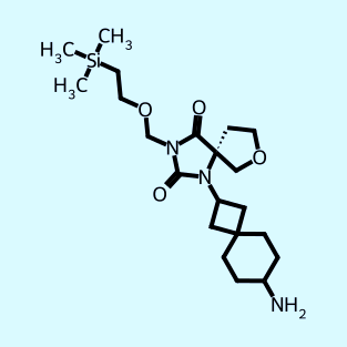 C[Si](C)(C)CCOCN1C(=O)N(C2CC3(CCC(N)CC3)C2)[C@@]2(CCOC2)C1=O